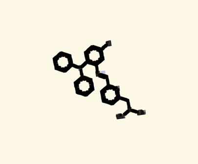 CC(C)(C)P(Cc1cccc(/C=N/c2cc(Cl)ccc2P(c2ccccc2)c2ccccc2)n1)C(C)(C)C